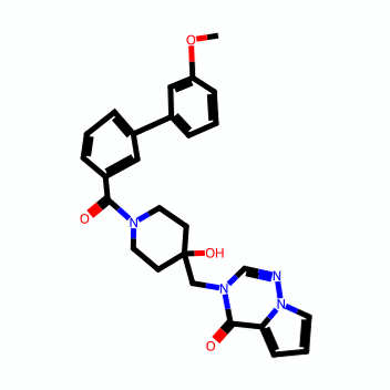 COc1cccc(-c2cccc(C(=O)N3CCC(O)(Cn4cnn5cccc5c4=O)CC3)c2)c1